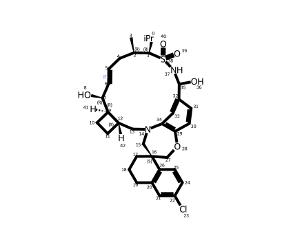 CC(C)[C@@H]1[C@H](C)C/C=C/[C@H](O)[C@@H]2CC[C@H]2CN2C[C@@]3(CCCc4cc(Cl)ccc43)COc3ccc(cc32)C(O)NS1(=O)=O